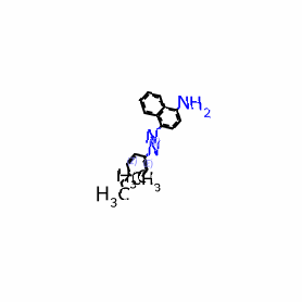 C/C=C(\C=C/C(C)CC)/N=N/c1ccc(N)c2ccccc12